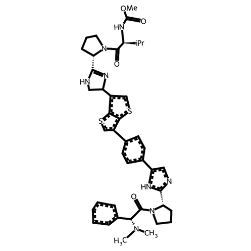 COC(=O)N[C@H](C(=O)N1CCC[C@H]1C1=NC(c2csc3c(-c4ccc(-c5cnc([C@@H]6CCCN6C(=O)[C@@H](c6ccccc6)N(C)C)[nH]5)cc4)csc23)CN1)C(C)C